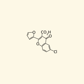 O=C(O)c1c(-c2ccco2)oc2ccc(Cl)cc2c1=O